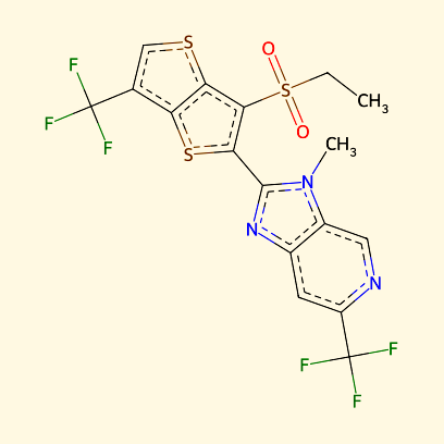 CCS(=O)(=O)c1c(-c2nc3cc(C(F)(F)F)ncc3n2C)sc2c(C(F)(F)F)csc12